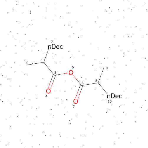 CCCCCCCCCCC(C)C(=O)OC(=O)C(C)CCCCCCCCCC